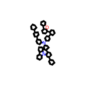 c1ccc(-c2ccc(-c3cccc(N(c4ccc(-c5ccccc5-c5cccc6c5oc5ccccc56)cc4)c4ccc(-c5ccc(-c6ccccc6)cc5-n5c6ccccc6c6ccccc65)cc4)c3)cc2)cc1